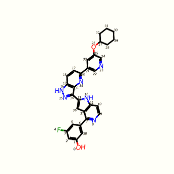 Oc1cc(F)cc(-c2nccc3[nH]c(-c4n[nH]c5ccc(-c6cncc(OC7CCCCC7)c6)nc45)cc23)c1